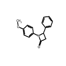 COc1ccc(N2C(=O)CC2c2ccccc2)cc1